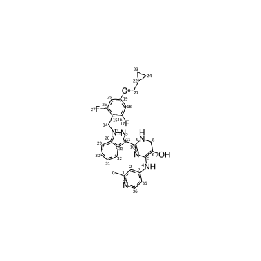 Cc1cc(NC2=C(O)CNC(c3nn(Cc4c(F)cc(OCC5CC5)cc4F)c4ccccc34)=N2)ccn1